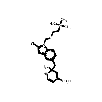 CC1(Cc2ccc3c(c2)cc(Cl)n3COCC[Si](C)(C)C)C=C(C(=O)O)C=CN1